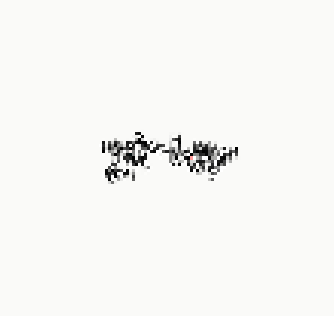 NC(=O)c1cc(-c2ccc(F)c(C(=O)O)c2)nc2[nH]nc(-c3ccc(C(=O)NCCOCCOCCNC(=O)c4ccc(-c5n[nH]c6nc(-c7ccc(F)c(C(=O)O)c7)cc(C(N)=O)c56)cc4)cc3)c12